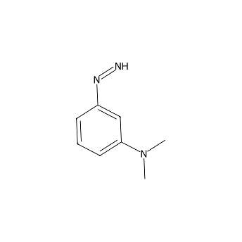 CN(C)c1cccc(N=N)c1